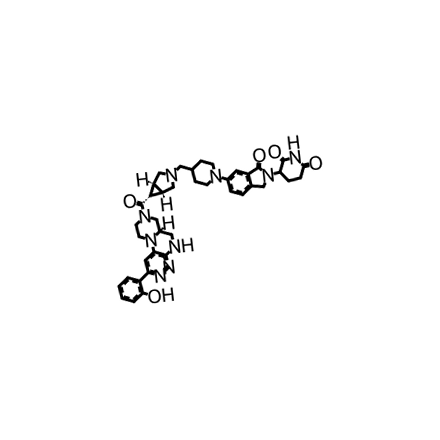 O=C1CCC(N2Cc3ccc(N4CCC(CN5C[C@@H]6[C@H](C5)[C@H]6C(=O)N5CCN6c7cc(-c8ccccc8O)nnc7NC[C@H]6C5)CC4)cc3C2=O)C(=O)N1